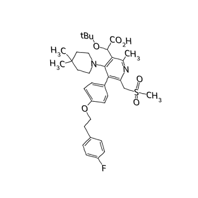 Cc1nc(CS(C)(=O)=O)c(-c2ccc(OCCc3ccc(F)cc3)cc2)c(N2CCC(C)(C)CC2)c1C(OC(C)(C)C)C(=O)O